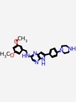 COc1cc(CNc2cnc3[nH]c(-c4ccc(N5CCNCC5)cc4)cc3n2)cc(OC)c1